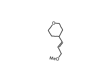 COC/C=C/C1CCOCC1